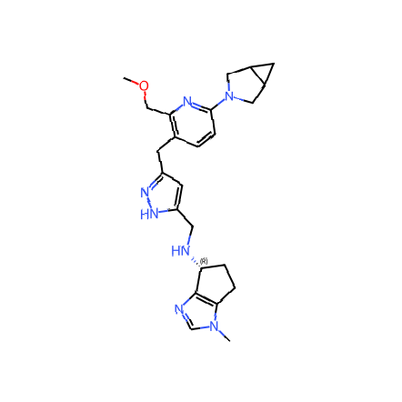 COCc1nc(N2CC3CC3C2)ccc1Cc1cc(CN[C@@H]2CCc3c2ncn3C)[nH]n1